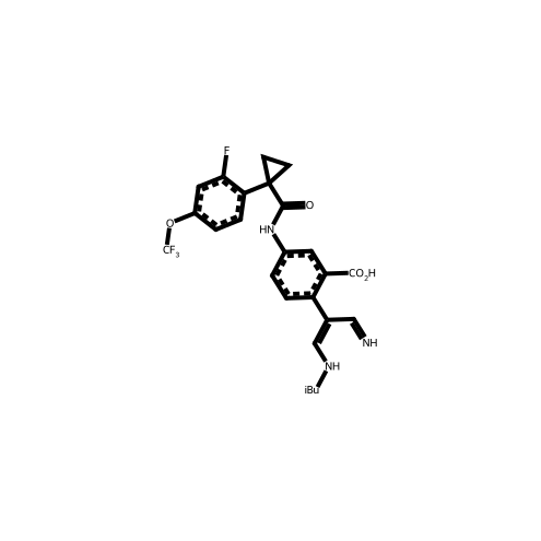 CCC(C)N/C=C(\C=N)c1ccc(NC(=O)C2(c3ccc(OC(F)(F)F)cc3F)CC2)cc1C(=O)O